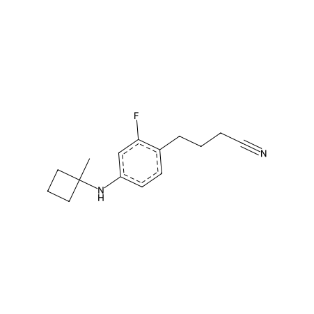 CC1(Nc2ccc(CCCC#N)c(F)c2)CCC1